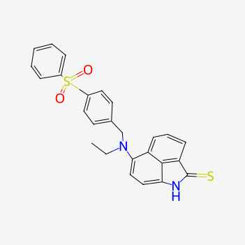 CCN(Cc1ccc(S(=O)(=O)c2ccccc2)cc1)c1ccc2c3c(cccc13)C(=S)N2